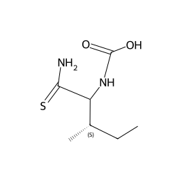 CC[C@H](C)C(NC(=O)O)C(N)=S